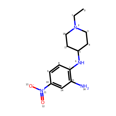 CCN1CCC(Nc2ccc([N+](=O)[O-])cc2N)CC1